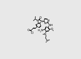 COc1cc(N(C)CCN(C)C)c(N)cc1Nc1nccc(-n2c(=O)n(C(C)C)c3cc(C=CC(=O)Cl)ccc32)n1